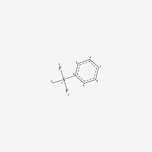 CS(F)(F)c1[c]cccc1